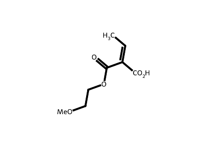 CC=C(C(=O)O)C(=O)OCCOC